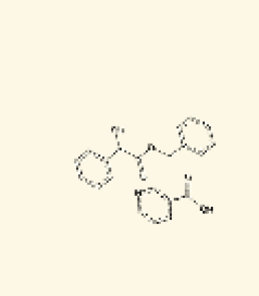 O=C(O)c1cccnc1.O=C(OCc1ccccc1)C(O)c1ccccc1